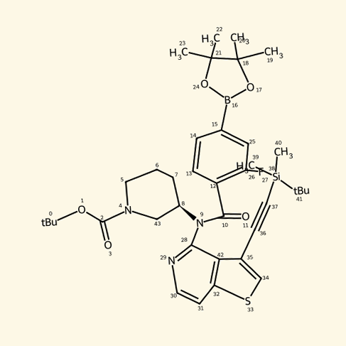 CC(C)(C)OC(=O)N1CCC[C@@H](N(C(=O)c2ccc(B3OC(C)(C)C(C)(C)O3)cc2F)c2nccc3scc(C#C[Si](C)(C)C(C)(C)C)c23)C1